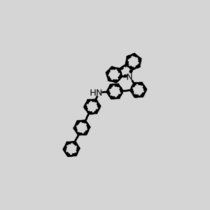 c1ccc(-c2ccc(-c3ccc(Nc4ccc(-c5ccccc5-n5c6ccccc6c6ccccc65)cc4)cc3)cc2)cc1